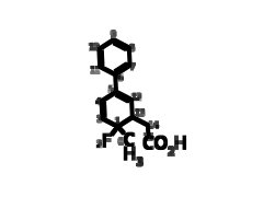 CC1(F)C=CC(c2ccccc2)=CC1CC(=O)O